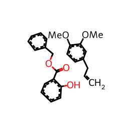 C=CCc1ccc(OC)c(OC)c1.O=C(OCc1ccccc1)c1ccccc1O